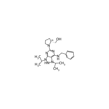 CC(C)N1NN(C(C)C)c2c(NCc3ccccc3)nc(N3CCC[C@@H]3CO)nc21